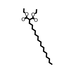 CCCCCCCCCCCCCCCCC(C(=O)OCC)C(=O)OCC